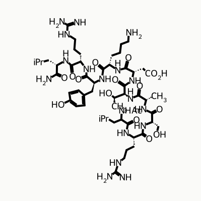 CC(=O)NC(CC(C)C)C(=O)N[C@@H](CCCNC(=N)N)C(=O)N[C@@H](CO)C(=O)N[C@@H](C)C(=O)N[C@H](C(=O)N[C@@H](CC(=O)O)C(=O)N[C@@H](CCCCN)C(=O)N[C@@H](Cc1ccc(O)cc1)C(=O)N[C@@H](CCCNC(=N)N)C(=O)N[C@@H](CC(C)C)C(N)=O)[C@@H](C)O